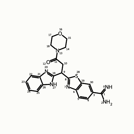 N=C(N)c1ccc2nc(C(CC(=O)N3CCOCC3)c3nc4ccccc4[nH]3)sc2c1